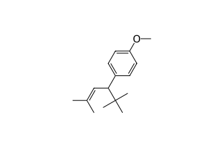 COc1ccc(C(C=C(C)C)C(C)(C)C)cc1